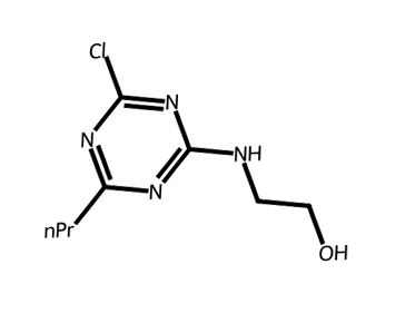 CCCc1nc(Cl)nc(NCCO)n1